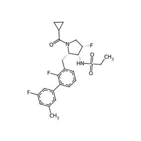 CCS(=O)(=O)N[C@H]1[C@@H](F)CN(C(=O)C2CC2)[C@H]1Cc1cccc(-c2cc(C)cc(F)c2)c1F